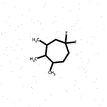 CC1CCC(F)(F)CC(C)C1C